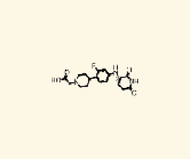 O=C(O)CN1CCC(c2ccc(N[C@H]3CCC(=O)NC3=O)cc2F)CC1